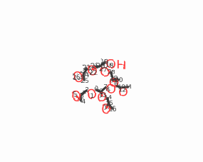 C(OCC1CO1)C(COCC1CO1)OCC1CO1.OCC(COCC1CO1)OCC1CO1